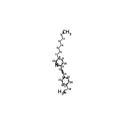 CCCCCCCCc1ccc(C#Cc2ccc(CC)cc2)nc1